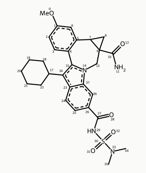 COc1ccc2c(c1)C1CC1(C(N)=O)Cn1c-2c(C2CCCCC2)c2ccc(C(=O)NS(=O)(=O)N(C)C)cc21